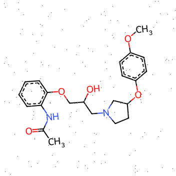 COc1ccc(OC2CCN(CC(O)COc3ccccc3NC(C)=O)C2)cc1